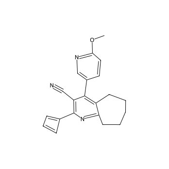 COc1ccc(-c2c(C#N)c(C3=CC=C3)nc3c2CCCCC3)cn1